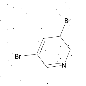 BrC1=CC(Br)CN=C1